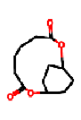 O=C1CCCCC(=O)OC2CCC(CC2)O1